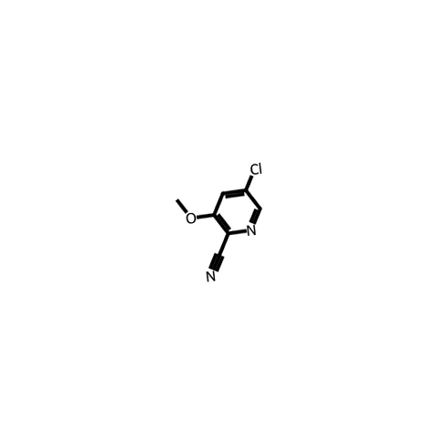 COc1cc(Cl)cnc1C#N